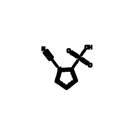 N#Cn1cccc1S(=O)(=O)O